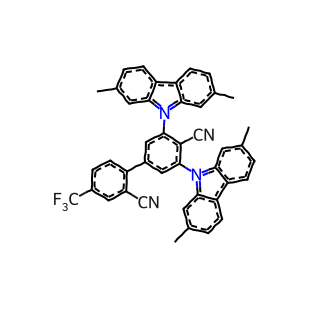 Cc1ccc2c3ccc(C)cc3n(-c3cc(-c4ccc(C(F)(F)F)cc4C#N)cc(-n4c5cc(C)ccc5c5ccc(C)cc54)c3C#N)c2c1